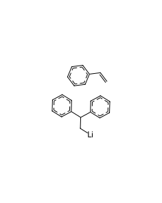 C=Cc1ccccc1.[Li][CH2]C(c1ccccc1)c1ccccc1